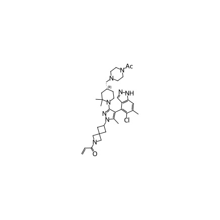 C=CC(=O)N1CC2(CC(n3nc(N4CC[C@@H](CN5CCN(C(C)=O)CC5)CC4(C)C)c(-c4c(Cl)c(C)cc5[nH]ncc45)c3C)C2)C1